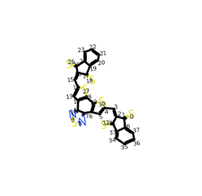 S=C1C(=Cc2cc3c4nsnc4c4cc(C=C5C(=S)c6ccccc6C5=S)sc4c3s2)C(=S)c2ccccc21